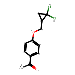 CC(=O)C(=O)c1ccc(OCC2CC2(Cl)Cl)cc1